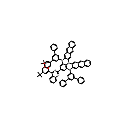 CC(C)(C)c1cc(-c2nc(-c3cc4c5c(c3)N(c3cc(-c6ccccc6)cc(-c6ccccc6)c3)c3cc6cc7ccccc7cc6cc3B5c3cc5cc6ccccc6cc5cc3N4c3cc(-c4ccccc4)cc(-c4ccccc4)c3)nc3ccccc23)cc(C(C)(C)C)c1